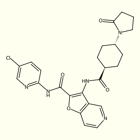 O=C(Nc1ccc(Cl)cn1)c1oc2ccncc2c1NC(=O)[C@H]1CC[C@H](N2CCCC2=O)CC1